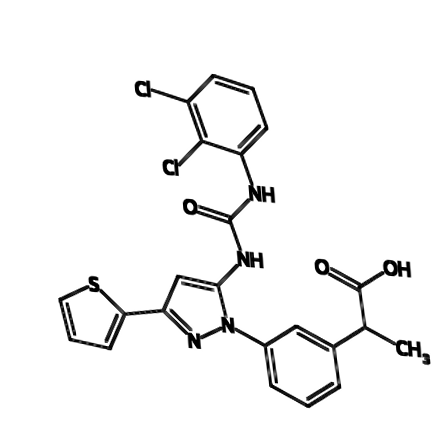 CC(C(=O)O)c1cccc(-n2nc(-c3cccs3)cc2NC(=O)Nc2cccc(Cl)c2Cl)c1